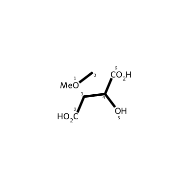 COC.O=C(O)CC(O)C(=O)O